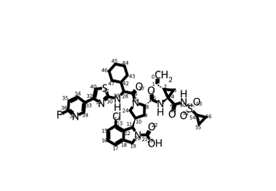 C=C[C@@H]1C[C@]1(NC(=O)[C@@H]1C[C@@H](C2c3c(Cl)cccc3CN2C(=O)O)CN1C(=O)C(Nc1nc(-c2ccc(F)nc2)cs1)C1CCCCC1)C(=O)NS(=O)(=O)C1CC1